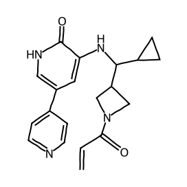 C=CC(=O)N1CC(C(Nc2cc(-c3ccncc3)c[nH]c2=O)C2CC2)C1